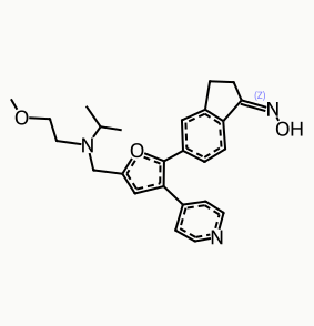 COCCN(Cc1cc(-c2ccncc2)c(-c2ccc3c(c2)CC/C3=N/O)o1)C(C)C